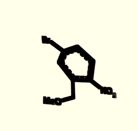 COCc1cc(Br)ccc1[N+](=O)[O-]